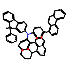 CC1(c2ccccc2)c2ccccc2-c2ccc(N(c3ccc(-c4cccc5c4ccc4ccccc45)cc3)c3ccccc3-c3cccc4cccc(C5CCCCC5)c34)cc21